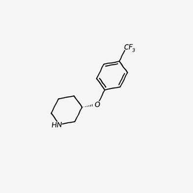 FC(F)(F)c1ccc(O[C@H]2CCCNC2)cc1